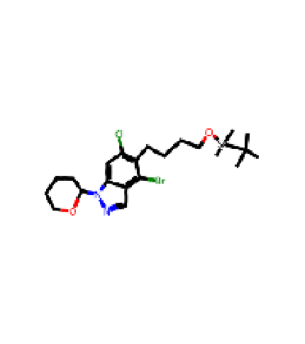 CC(C)(C)[Si](C)(C)OCCCCc1c(Cl)cc2c(cnn2C2CCCCO2)c1Br